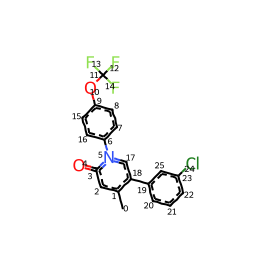 Cc1cc(=O)n(-c2ccc(OC(F)(F)F)cc2)cc1-c1cccc(Cl)c1